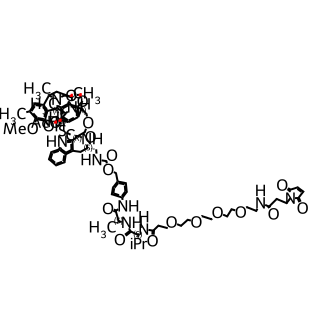 COc1c(C)cc2c(c1O)[C@@H]1C3[C@@H]4SC[C@]5(N[C@H](CNC(=O)OCc6ccc(NC(=O)[C@H](C)NC(=O)[C@@H](NC(=O)CCOCCOCCOCCOCCNC(=O)CCN7C(=O)C=CC7=O)C(C)C)cc6)Cc6c5[nH]c5ccccc65)C(=O)OC[C@@H](c5c6c(c(C)c(OC(C)=O)c54)OCO6)N3C3(C)CN1C2(C)C3